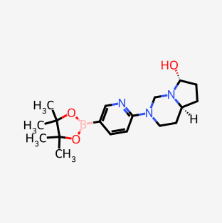 CC1(C)OB(c2ccc(N3CC[C@@H]4CC[C@@H](O)N4C3)nc2)OC1(C)C